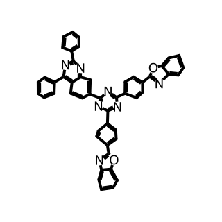 c1ccc(-c2nc(-c3ccccc3)c3ccc(-c4nc(-c5ccc(-c6nc7ccccc7o6)cc5)nc(-c5ccc(-c6nc7ccccc7o6)cc5)n4)cc3n2)cc1